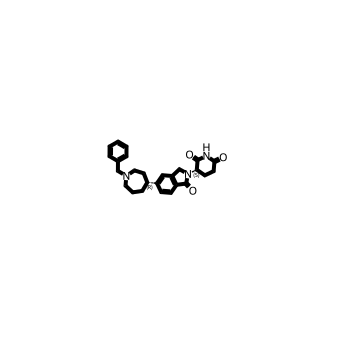 O=C1CC[C@H](N2Cc3cc([C@@H]4CCCN(Cc5ccccc5)CC4)ccc3C2=O)C(=O)N1